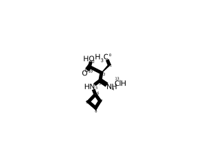 CC[C@@H](C(=N)NC1CCC1)C(=O)O.Cl